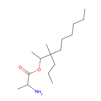 CCCCCCC(C)(CCC)C(C)OC(=O)C(C)N